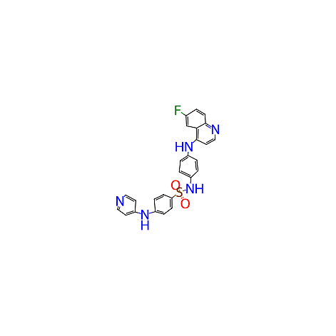 O=S(=O)(Nc1ccc(Nc2ccnc3ccc(F)cc23)cc1)c1ccc(Nc2ccncc2)cc1